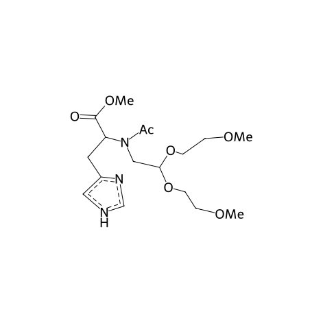 COCCOC(CN(C(C)=O)C(Cc1c[nH]cn1)C(=O)OC)OCCOC